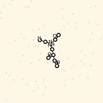 c1cncc(-c2ccc(-c3nc(-c4ccc(-c5ccc(-c6ccc7c(c6)oc6ccccc67)c6c5oc5ccccc56)cc4)nc(-c4ccc5c(c4)oc4ccccc45)n3)cc2)c1